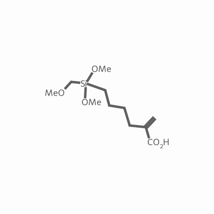 C=C(CCCC[Si](COC)(OC)OC)C(=O)O